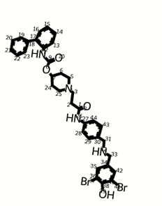 O=C(CCN1CCC(OC(=O)Nc2ccccc2-c2ccccc2)CC1)Nc1ccc(CNCc2cc(Br)c(O)c(Br)c2)cc1